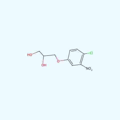 O=[N+]([O-])c1cc(OCC(O)CO)ccc1Cl